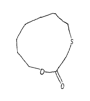 O=C1CSCCCCCCCO1